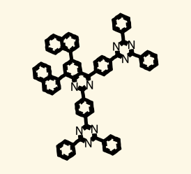 c1ccc(-c2nc(-c3ccccc3)nc(-c3ccc(-c4nc(-c5ccc(-c6nc(-c7ccccc7)nc(-c7ccccc7)n6)cc5)c5cc(-c6cccc7ccccc67)cc(-c6cccc7ccccc67)c5n4)cc3)n2)cc1